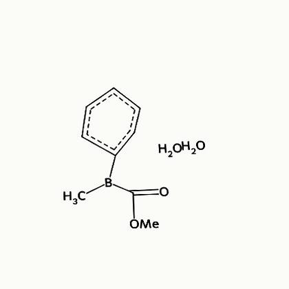 COC(=O)B(C)c1ccccc1.O.O